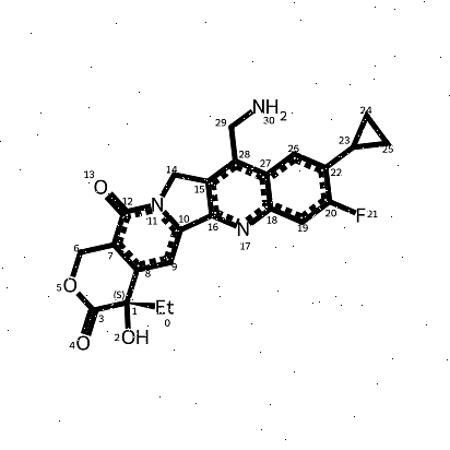 CC[C@@]1(O)C(=O)OCc2c1cc1n(c2=O)Cc2c-1nc1cc(F)c(C3CC3)cc1c2CN